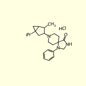 CC1C(N2CCC3(CC2)C(=O)NCN3c2ccccc2)CC2(C(C)C)CC12.Cl